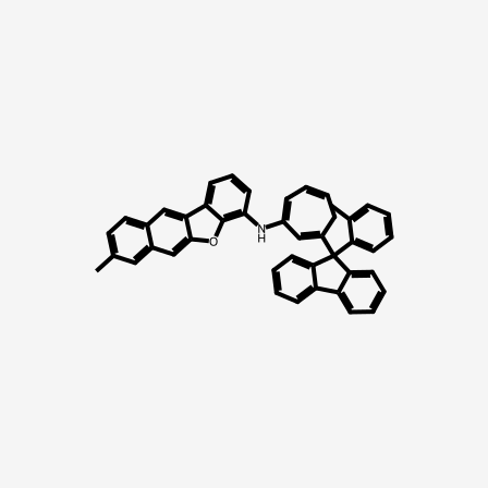 Cc1ccc2cc3c(cc2c1)oc1c(NC2=CC=CCC(C4(c5ccccc5C)c5ccccc5-c5ccccc54)=C2)cccc13